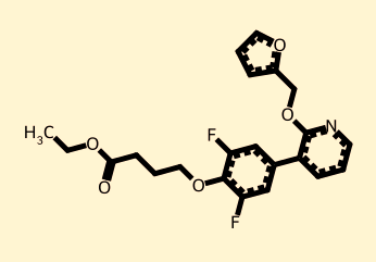 CCOC(=O)CCCOc1c(F)cc(-c2cccnc2OCc2ccco2)cc1F